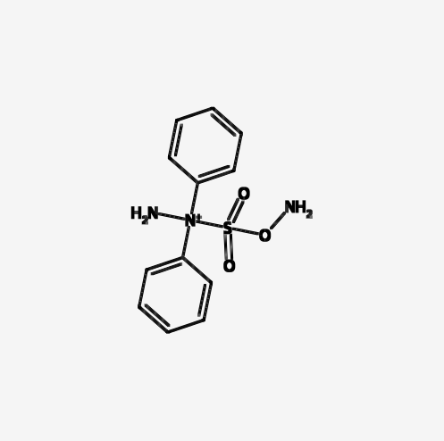 NOS(=O)(=O)[N+](N)(c1ccccc1)c1ccccc1